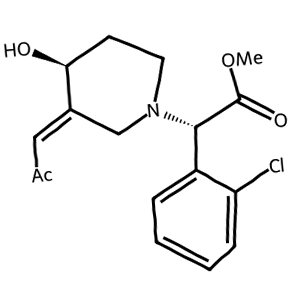 COC(=O)[C@H](c1ccccc1Cl)N1CC[C@H](O)/C(=C/C(C)=O)C1